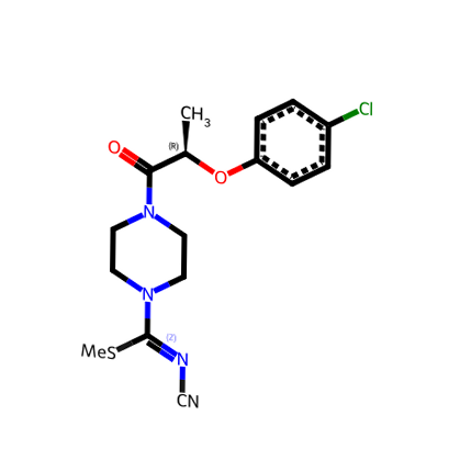 CS/C(=N\C#N)N1CCN(C(=O)[C@@H](C)Oc2ccc(Cl)cc2)CC1